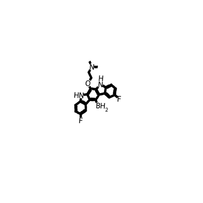 Bc1c2c([nH]c3ccc(F)cc32)c(OCCN(C)C)c2[nH]c3ccc(F)cc3c12